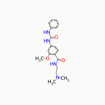 COc1cc(NC(=O)Nc2ccccc2)ccc1C(=O)NCCN(C)C